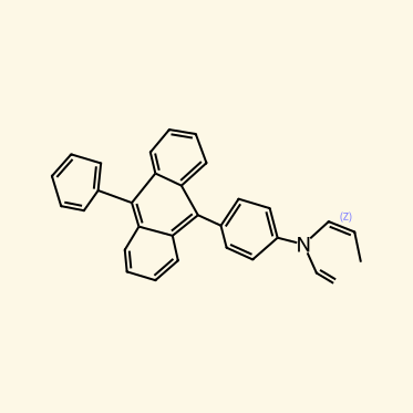 C=CN(/C=C\C)c1ccc(-c2c3ccccc3c(-c3ccccc3)c3ccccc23)cc1